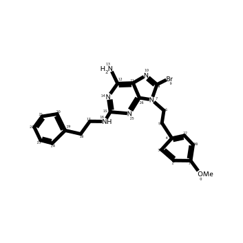 COc1ccc(CCn2c(Br)nc3c(N)nc(NCCc4ccccc4)nc32)cc1